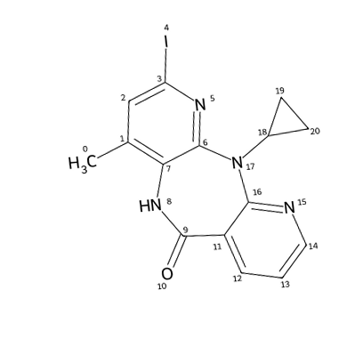 Cc1cc(I)nc2c1NC(=O)c1cccnc1N2C1CC1